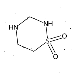 O=S1(=O)CCNCN1